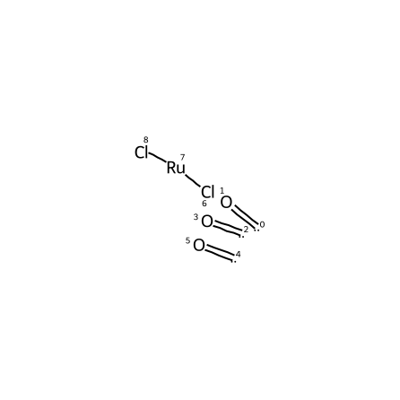 [C]=O.[C]=O.[C]=O.[Cl][Ru][Cl]